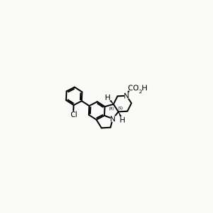 O=C(O)N1CC[C@H]2[C@@H](C1)c1cc(-c3ccccc3Cl)cc3c1N2CC3